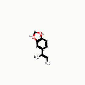 CC/C=C(\C#N)c1ccc2c(c1)OCO2